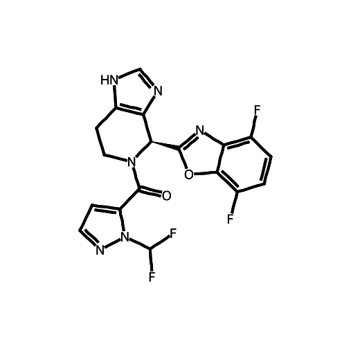 O=C(c1ccnn1C(F)F)N1CCc2[nH]cnc2[C@H]1c1nc2c(F)ccc(F)c2o1